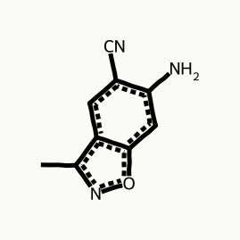 Cc1noc2cc(N)c(C#N)cc12